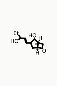 CCC(O)C=CC1C[C@@H]2C(=O)C[C@H]2C1O